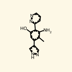 Cc1c(-c2cn[nH]c2)cc(O)c(-c2cccnn2)c1N